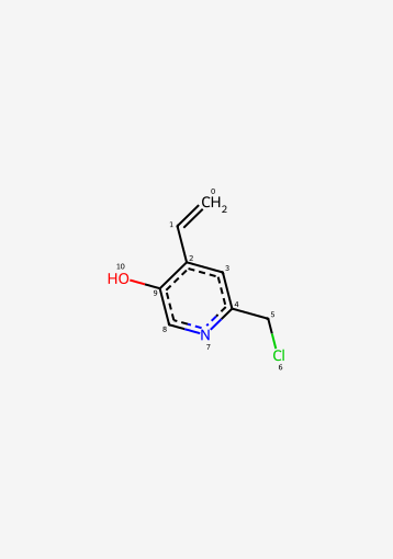 C=Cc1cc(CCl)ncc1O